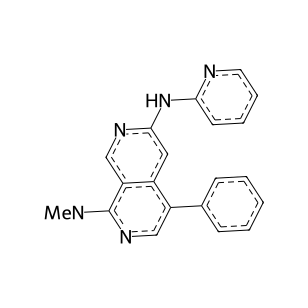 CNc1ncc(-c2ccccc2)c2cc(Nc3ccccn3)ncc12